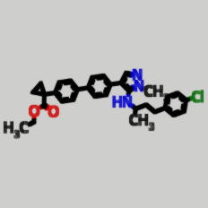 CCOC(=O)C1(c2ccc(-c3ccc(-c4cnn(C)c4NC(C)CCc4ccc(Cl)cc4)cc3)cc2)CC1